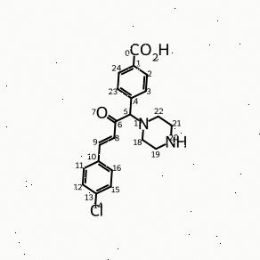 O=C(O)c1ccc(C(C(=O)C=Cc2ccc(Cl)cc2)N2CCNCC2)cc1